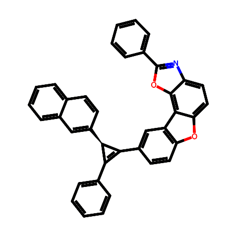 c1ccc(C2=C(c3ccc4oc5ccc6nc(-c7ccccc7)oc6c5c4c3)[C@@H]2c2ccc3ccccc3c2)cc1